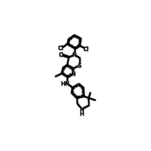 Cc1cc2c(nc1Nc1ccc3c(c1)CNCC3(C)C)SCN(c1c(Cl)cccc1Cl)C2=O